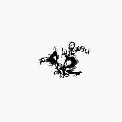 CC(C)=CCn1c(N2CCCC(NC(=O)OC(C)(C)C)C2)nc2c1c(=O)n(C)c(=O)n2CCc1cccc(F)c1